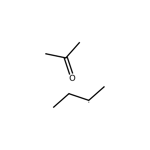 CC(C)=O.C[CH]CC